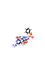 CO[C@](F)(CO[PH](=O)Oc1ccccc1)[C@@H](O)[C@@](C)(N)n1ccc(N)nc1=O